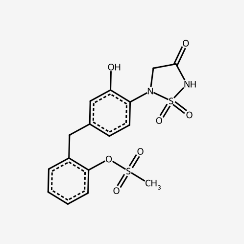 CS(=O)(=O)Oc1ccccc1Cc1ccc(N2CC(=O)NS2(=O)=O)c(O)c1